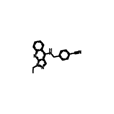 CCn1ncc2c(NCc3ccc(C#N)cc3)c3ccccc3nc21